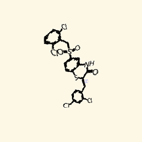 O=C1Nc2cc(S(=O)(=O)Cc3c(Cl)cccc3Cl)ccc2S/C1=C\c1ccc(Cl)cc1Cl